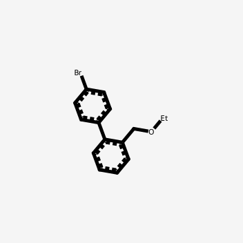 CCOCc1ccccc1-c1ccc(Br)cc1